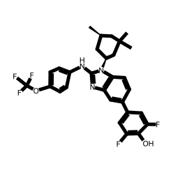 C[C@@H]1C[C@H](n2c(Nc3ccc(OC(F)(F)F)cc3)nc3cc(-c4cc(F)c(O)c(F)c4)ccc32)CC(C)(C)C1